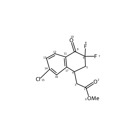 COC(=O)CC1CC(F)(F)C(=O)c2ccc(Cl)cc21